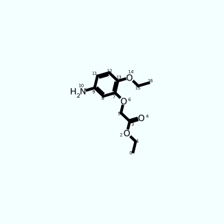 CCOC(=O)COc1cc(N)ccc1OCC